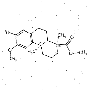 [3H]c1cc2c(cc1OC)[C@]1(C)CCC[C@](C)(C(=O)OC)C1CC2